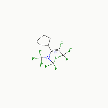 F/C(=C(\C1CCCC1)N(C(F)(F)F)C(F)(F)F)C(F)(F)F